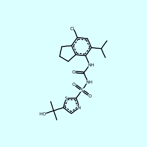 CC(C)c1cc(Cl)c2c(c1NC(=O)NS(=O)(=O)c1ncc(C(C)(C)O)s1)CCC2